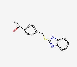 CC(C)C(=O)c1ccc(CSc2nc3ccccc3[nH]2)cc1